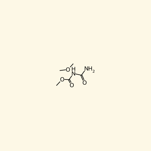 COC.COC(=O)NC(N)=O